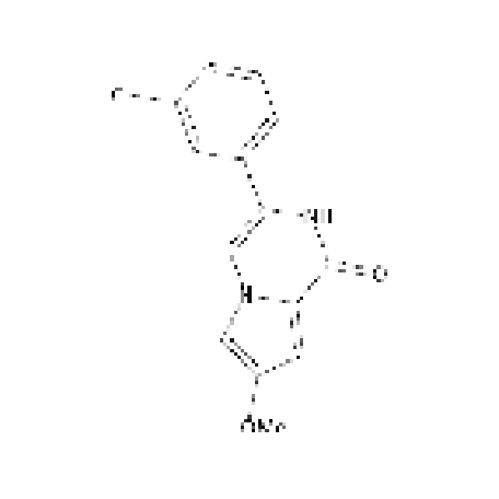 COc1cc2c(=O)[nH]c(-c3cccc(Cl)c3)cn2c1